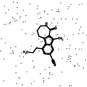 CCCc1cc(C#N)cc2c(C)c3n(c12)CCCNC3=O